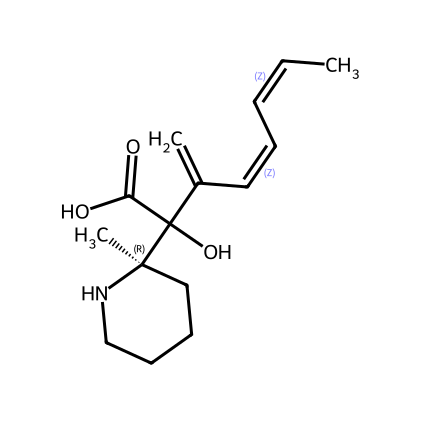 C=C(/C=C\C=C/C)C(O)(C(=O)O)[C@@]1(C)CCCCN1